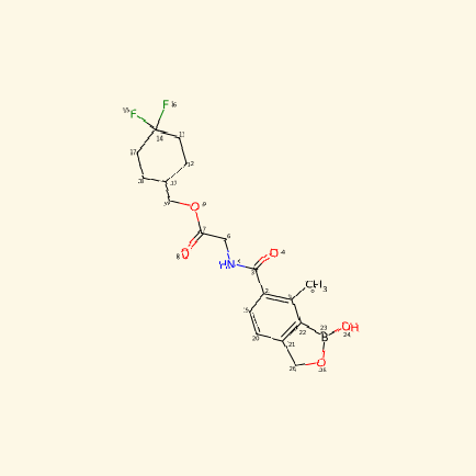 Cc1c(C(=O)NCC(=O)OCC2CCC(F)(F)CC2)ccc2c1B(O)OC2